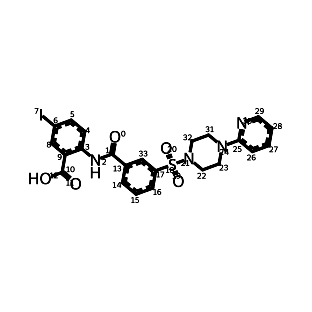 O=C(Nc1ccc(I)cc1C(=O)O)c1cccc(S(=O)(=O)N2CCN(c3ccccn3)CC2)c1